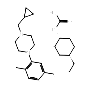 CC[C@H]1CC[C@H](NC(=O)O)CC1.Cc1ccc(C)c(N2CCN(CC3CC3)CC2)c1